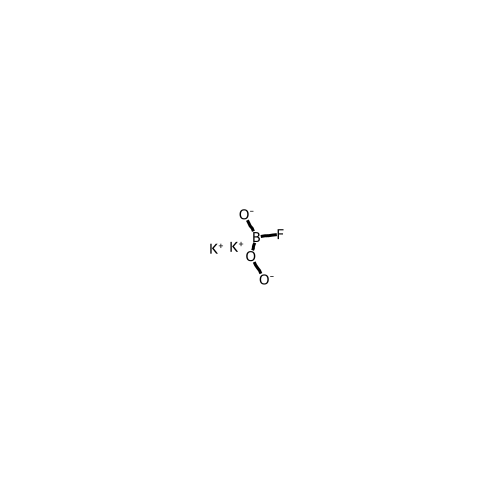 [K+].[K+].[O-]OB([O-])F